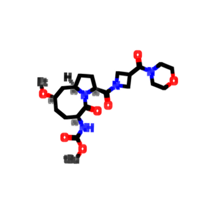 CCO[C@@H]1CC[C@H](NC(=O)OC(C)(C)C)C(=O)N2[C@H](CC[C@H]2C(=O)N2CC(C(=O)N3CCOCC3)C2)C1